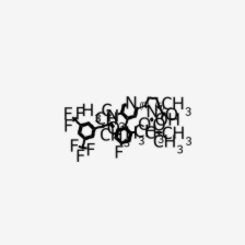 Cc1cc(F)ccc1-c1cc([C@H]2CC[C@@](C)(C(=O)O)N2C(=O)OC(C)(C)C)ncc1N(C)C(=O)C(C)(C)c1cc(C(F)(F)F)cc(C(F)(F)F)c1